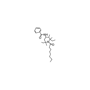 CCCCCCCC(=O)N1C(C)(CC)CC(NC(=O)c2ccccc2)C(C)C1(C)CC